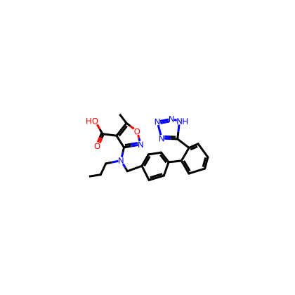 CCCN(Cc1ccc(-c2ccccc2-c2nnn[nH]2)cc1)c1noc(C)c1C(=O)O